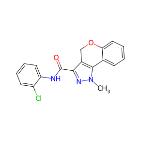 Cn1nc(C(=O)Nc2ccccc2Cl)c2c1-c1ccccc1OC2